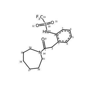 O=C(Cc1ccccc1NS(=O)(=O)C(F)(F)F)N1CCCCCC1